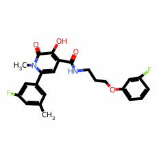 Cc1cc(F)cc(-c2cc(C(=O)NCCCOc3cccc(F)c3)c(O)c(=O)n2C)c1